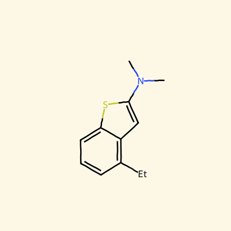 CCc1cccc2sc(N(C)C)cc12